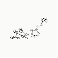 C=CCc1ccnc(OCC(C)(C)C(=O)OC)c1